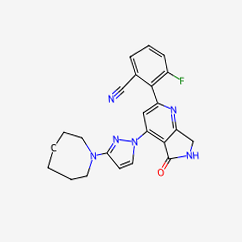 N#Cc1cccc(F)c1-c1cc(-n2ccc(N3CCCCCC3)n2)c2c(n1)CNC2=O